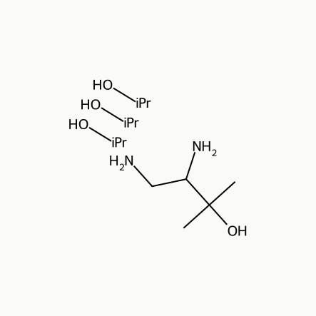 CC(C)(O)C(N)CN.CC(C)O.CC(C)O.CC(C)O